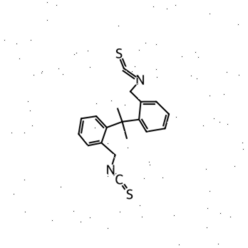 CC(C)(c1ccccc1CN=C=S)c1ccccc1CN=C=S